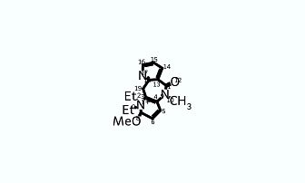 CC[N+]1(CC)C2=C(C=CC1OC)N(C)C(=O)c1cccnc1C2